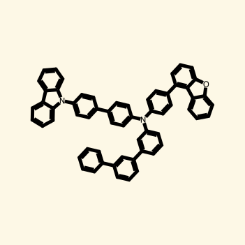 c1ccc(-c2cccc(-c3cccc(N(c4ccc(-c5ccc(-n6c7ccccc7c7ccccc76)cc5)cc4)c4ccc(-c5cccc6oc7ccccc7c56)cc4)c3)c2)cc1